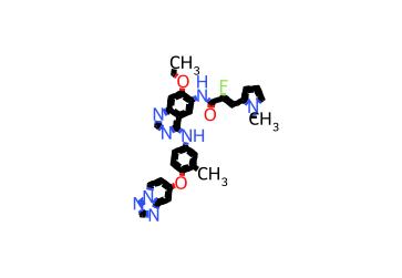 CCOc1cc2ncnc(Nc3ccc(Oc4ccn5ncnc5c4)c(C)c3)c2cc1NC(=O)C(F)=Cc1cccn1C